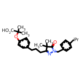 CC(C)c1ccc(CN2N=C(CCCc3ccc(OC(C)(C)C(=O)O)cc3)C(C)(C)C2=O)cc1